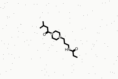 CCC(=O)NCCCN1CCN(C(=O)CC(C)C)CC1